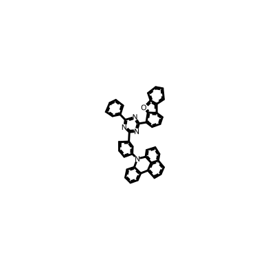 c1ccc(-c2nc(-c3cccc(N4c5ccccc5-c5cccc6cccc4c56)c3)nc(-c3cccc4c3oc3ccccc34)n2)cc1